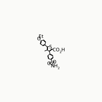 CCOc1ccc(-c2sc(C(=O)O)c(-c3ccc(S(N)(=O)=O)cc3)c2C)cc1